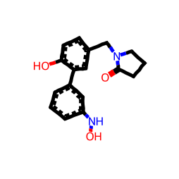 O=C1CCCN1Cc1ccc(O)c(-c2cccc(NO)c2)c1